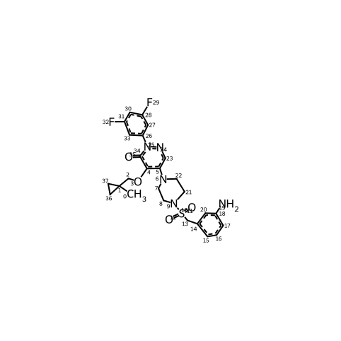 CC1(COc2c(N3CCN(S(=O)(=O)Cc4cccc(N)c4)CC3)cnn(-c3cc(F)cc(F)c3)c2=O)CC1